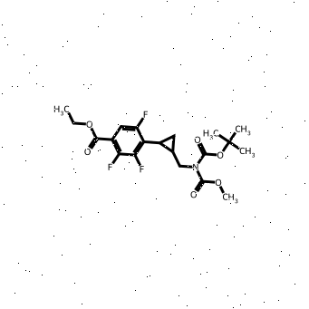 CCOC(=O)c1cc(F)c(C2CC2CN(C(=O)OC)C(=O)OC(C)(C)C)c(F)c1F